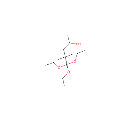 CCO[Si](OCC)(OCC)C(C)(C)CC(C)O